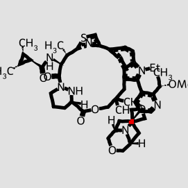 CCn1c(-c2cc([C@@H]3C[C@H]4COC[C@@H](C3)N4C3COC3)cnc2[C@H](C)OC)c2c3cc(ccc31)-c1csc(n1)[C@@H](C)[C@H](NC(=O)[C@H]1[C@H](C)[C@@H]1C)C(=O)N1CCC[C@H](N1)C(=O)OCC(C)(C)C2